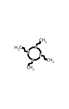 C=CCN1CCN(CC=C)CCN(CC=C)CCN(CC=C)CC1